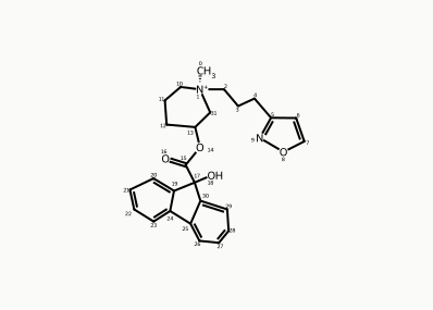 C[N@@+]1(CCCc2ccon2)CCCC(OC(=O)C2(O)c3ccccc3-c3ccccc32)C1